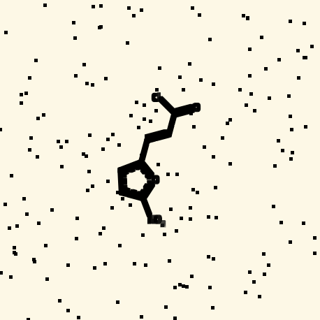 O=C(Cl)C=Cc1ccc([N+](=O)[O-])o1